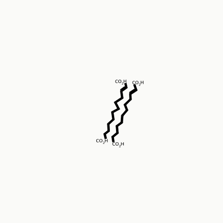 O=C(O)C=CCCCCCCCCC(=O)O.O=C(O)C=CCCCCCCCCC(=O)O